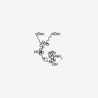 CCCCCCCCCCCCCCCC(=O)OC[C@H](COP(=O)(O)OCCN1CCC(Cn2c(O)nc3c(N)nc(OCCCC)nc32)CC1)OC(=O)CCCCCCCCCCCCCCC